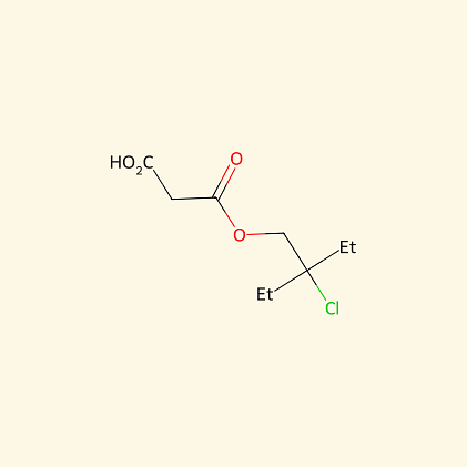 CCC(Cl)(CC)COC(=O)CC(=O)O